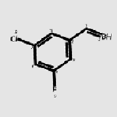 B=Cc1cc(F)cc(Cl)c1